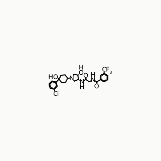 O=C(CNC(=O)c1cccc(C(F)(F)F)c1)N[C@H]1CN(C2CCC(O)(c3cccc(Cl)c3)CC2)C[C@@H]1O